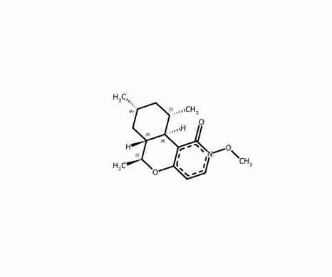 COn1ccc2c(c1=O)[C@H]1[C@@H](C[C@H](C)C[C@@H]1C)[C@H](C)O2